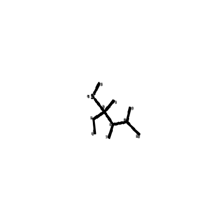 CCC(C)(SC)C(C)C(C)C